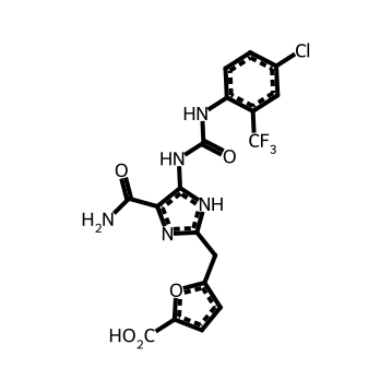 NC(=O)c1nc(Cc2ccc(C(=O)O)o2)[nH]c1NC(=O)Nc1ccc(Cl)cc1C(F)(F)F